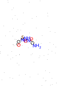 Nc1ccc(C(=O)NCC(=O)Nc2nc(-c3ccc4c(c3)OCC4)cs2)cc1